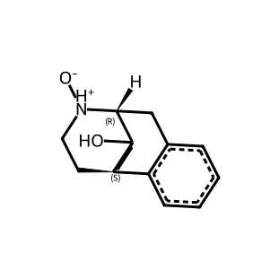 [O-][NH+]1CC[C@]23CCCCC2(O)[C@H]1Cc1ccccc13